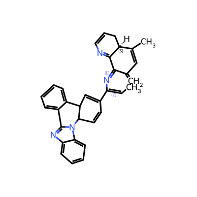 C=C1C=C(C)[C@@H]2CC=CN=C2/C1=N/C(=C\C)C1=CC2c3ccccc3-c3nc4ccccc4n3C2C=C1